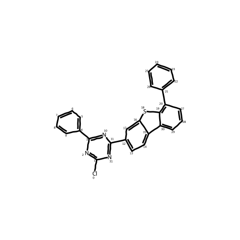 Clc1nc(-c2ccccc2)nc(-c2ccc3c(c2)sc2c(-c4ccccc4)cccc23)n1